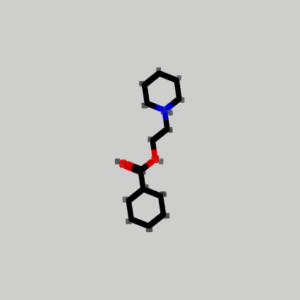 O=C(OCCN1CCCCC1)C1CCCCC1